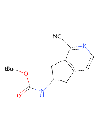 CC(C)(C)OC(=O)NC1Cc2ccnc(C#N)c2C1